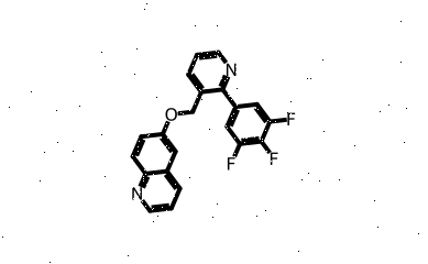 Fc1cc(-c2ncccc2COc2ccc3ncccc3c2)cc(F)c1F